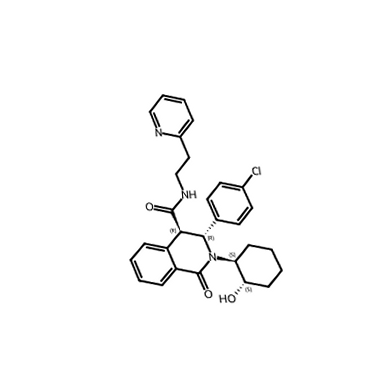 O=C(NCCc1ccccn1)[C@@H]1c2ccccc2C(=O)N([C@H]2CCCC[C@@H]2O)[C@H]1c1ccc(Cl)cc1